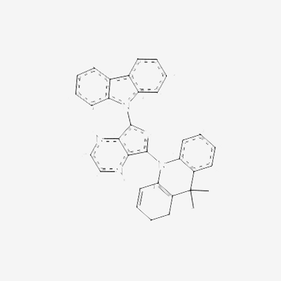 CC1(C)C2=C(C=CCC2)N(c2sc(-n3c4ccccc4c4ccccc43)c3nccnc23)c2ccccc21